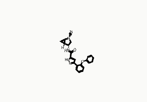 N#CN1C[C@H](NC(=O)c2cc(-c3ccccc3Oc3ccccc3)n[nH]2)[C@@H]2CC21